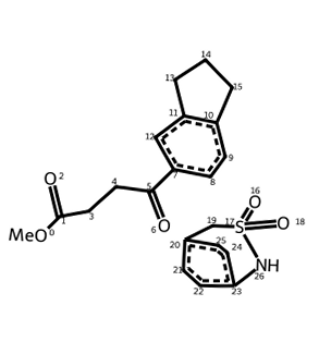 COC(=O)CCC(=O)c1ccc2c(c1)CCC2.O=S1(=O)Cc2ccc(cc2)N1